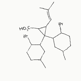 CC(C)=CC1C(C(=O)O)C1(C1CC(C)CCC1C(C)C)C1CC(C)CCC1C(C)C